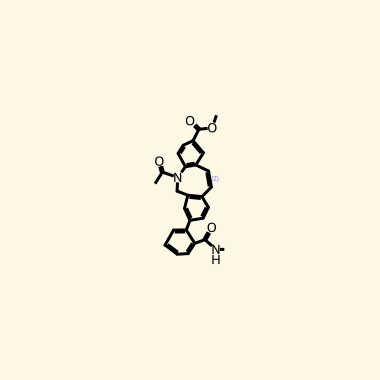 CNC(=O)c1ccccc1-c1ccc2c(c1)CN(C(C)=O)c1ccc(C(=O)OC)cc1/C=C\2